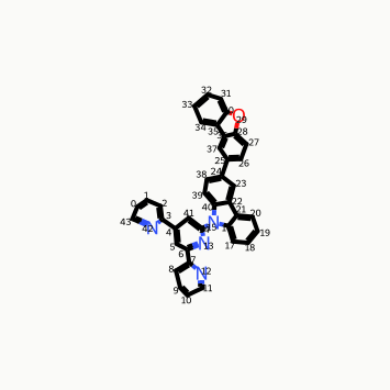 c1ccc(-c2cc(-c3ccccn3)nc(-n3c4ccccc4c4cc(-c5ccc6oc7ccccc7c6c5)ccc43)c2)nc1